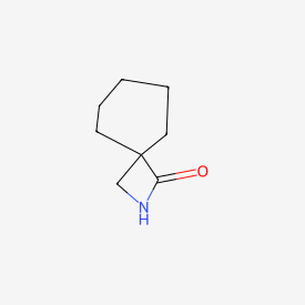 O=C1NCC12CCCCC2